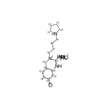 Cl.Cl.N=C(N)N(CCCCN1CCCC1)Cc1ccc(Cl)cc1